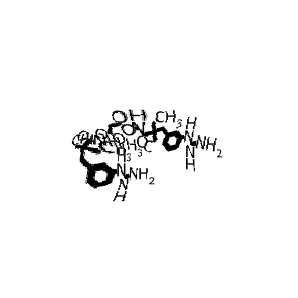 CCC(CC)(Cc1cccc(NC(=N)N)c1)C(=O)NOC(=O)CC(=O)ONC(=O)C(CC)(CC)Cc1cccc(NC(=N)N)c1